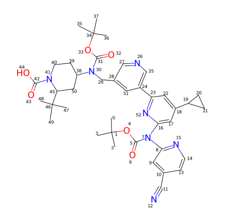 CC(C)(C)OC(=O)N(c1cc(C#N)ccn1)c1cc(C2CC2)cc(-c2cncc(CN(C(=O)OC(C)(C)C)C3CCN(C(=O)O)C(C(C)(C)C)C3)c2)n1